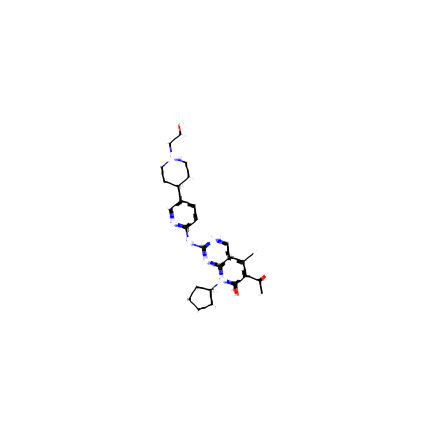 CC(=O)c1c(C)c2cnc(Nc3ccc(C4CCN(CCO)CC4)cn3)nc2n(C2CCCC2)c1=O